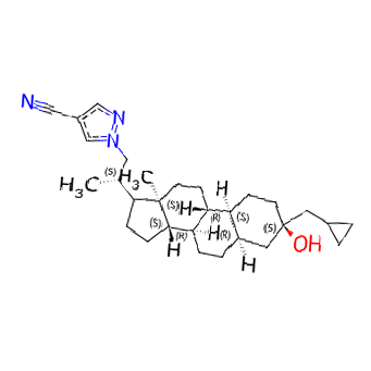 C[C@H](Cn1cc(C#N)cn1)C1CC[C@H]2[C@@H]3CC[C@@H]4C[C@@](O)(CC5CC5)CC[C@@H]4[C@H]3CC[C@]12C